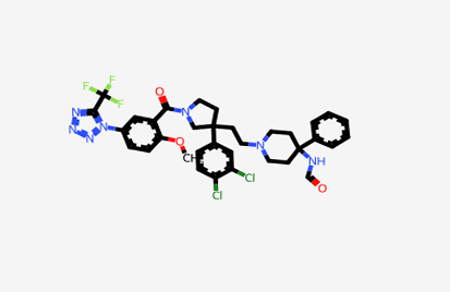 COc1ccc(-n2nnnc2C(F)(F)F)cc1C(=O)N1CCC(CCN2CCC(NC=O)(c3ccccc3)CC2)(c2ccc(Cl)c(Cl)c2)C1